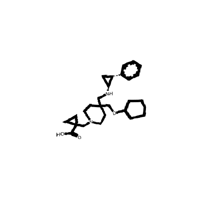 O=C(O)C1(CN2CCC(CN[C@@H]3C[C@@H]3c3ccccc3)(COC3CCCCC3)CC2)CC1